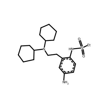 CCS(=O)(=O)Nc1ccc(N)cc1CCN(C1CCCCC1)C1CCCCC1